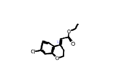 CCOC(=O)/C=C1\CCOc2cc(Cl)ccc21